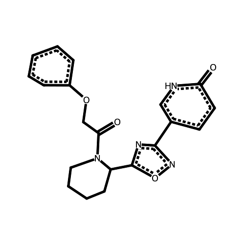 O=C(COc1ccccc1)N1CCCCC1c1nc(-c2ccc(=O)[nH]c2)no1